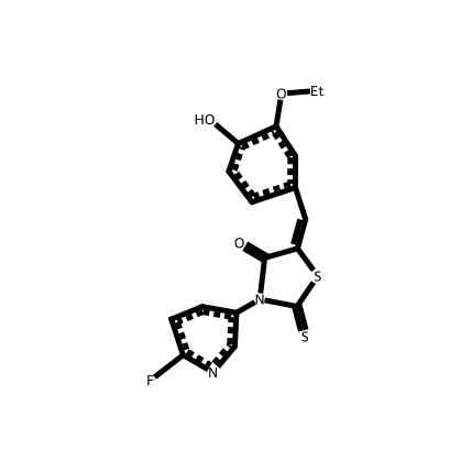 CCOc1cc(C=C2SC(=S)N(c3ccc(F)nc3)C2=O)ccc1O